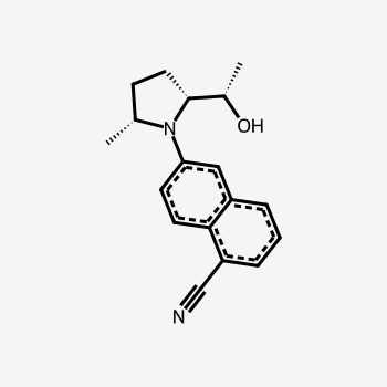 C[C@H](O)[C@H]1CC[C@@H](C)N1c1ccc2c(C#N)cccc2c1